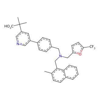 Cc1ccc2ccccc2c1CN(Cc1ccc(-c2cncc(C(C)(C)C(=O)O)c2)cc1)Cc1ccc(C(F)(F)F)o1